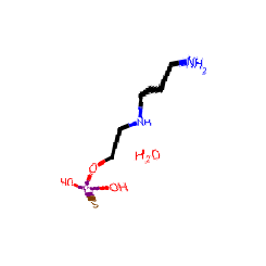 NCCCNCCOP(O)(O)=S.O